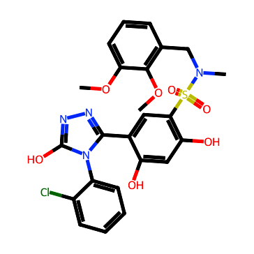 COc1cccc(CN(C)S(=O)(=O)c2cc(-c3nnc(O)n3-c3ccccc3Cl)c(O)cc2O)c1OC